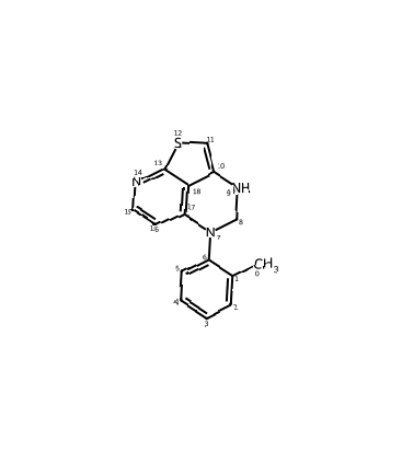 Cc1ccccc1N1CNc2csc3nccc1c23